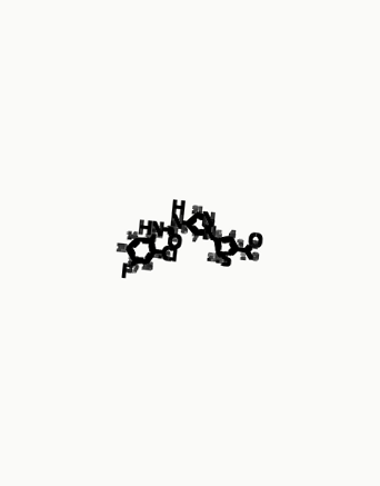 CC(=O)c1cc(-n2cc(NC(=O)Nc3ccc(F)cc3Cl)cn2)cs1